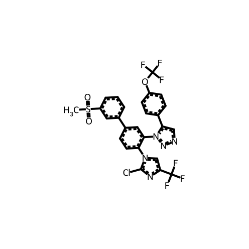 CS(=O)(=O)c1cccc(-c2ccc(-n3cc(C(F)(F)F)nc3Cl)c(-n3nncc3-c3ccc(OC(F)(F)F)cc3)c2)c1